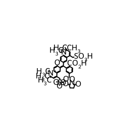 CN1c2cc3c(cc2C(CS(=O)(=O)O)=CC1(C)C)C(c1cc(C(=O)ON2C(=O)CCC2=O)ccc1C(=O)O)=c1cc2c(cc1O3)=[N+](C)C(C)(C)C=C2CS(=O)(=O)[O-]